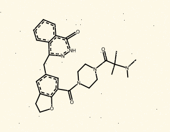 CN(C)C(C)(C)C(=O)N1CCN(C(=O)c2cc(Cc3n[nH]c(=O)c4ccccc34)cc3c2OCC3)CC1